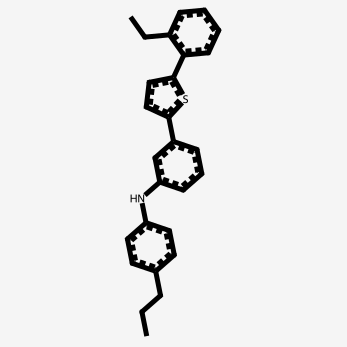 CCCc1ccc(Nc2cccc(-c3ccc(-c4ccccc4CC)s3)c2)cc1